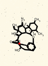 C=CC1(C)C=C(C)C2C3C(Oc4ccc(cc4)CC4(O)NC(=O)C5(OC45)C(=O)C31)[C@@H]1C(C)CC(C)CC21C